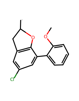 [CH2]C1Cc2cc(Cl)cc(-c3ccccc3OC)c2O1